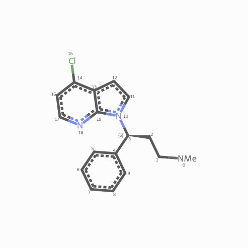 CNCC[C@@H](c1ccccc1)n1ccc2c(Cl)ccnc21